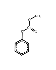 N[O][Ge](=[O])[O]c1ccccc1